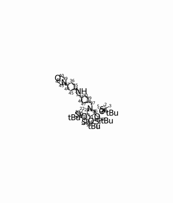 CC(C)(C)[Si](C)(C)OC[C@@H]1C(O[Si](C)(C)C(C)(C)C)C(O[Si](C)(C)C(C)(C)C)C(O[Si](C)(C)C(C)(C)C)CN1Cc1ccc(CNc2ccc(N3CCOCC3)cc2)cc1